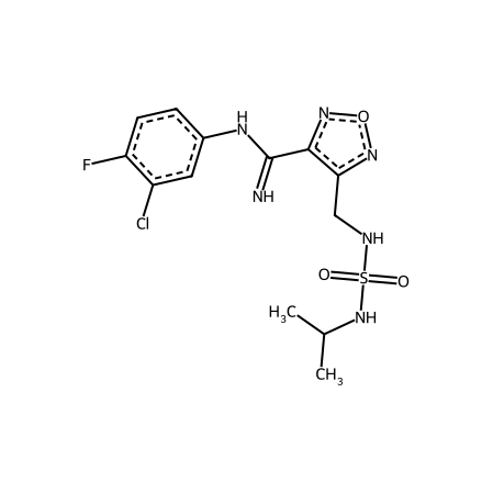 CC(C)NS(=O)(=O)NCc1nonc1C(=N)Nc1ccc(F)c(Cl)c1